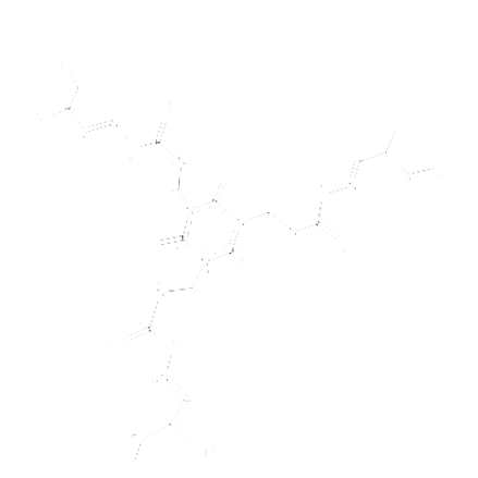 CCC(C)C=NOC(=O)NCn1c(=O)n(CNC(=O)ON=CC(C)CC)c(=O)n(CNC(=O)ON=CC(C)CC)c1=O